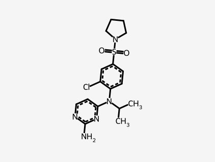 CC(C)N(c1ccnc(N)n1)c1ccc(S(=O)(=O)N2CCCC2)cc1Cl